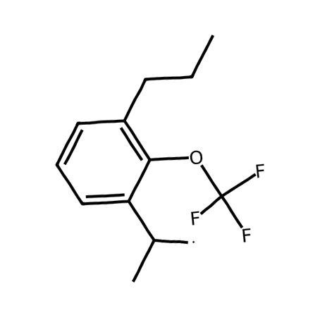 [CH2]C(C)c1cccc(CCC)c1OC(F)(F)F